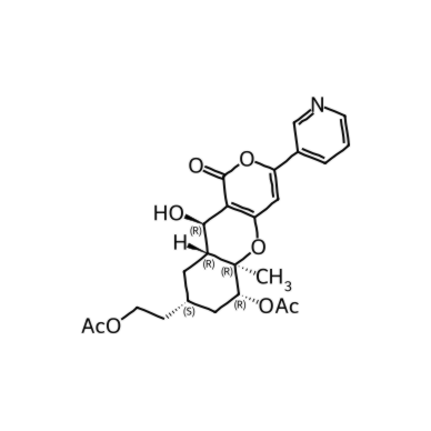 CC(=O)OCC[C@@H]1C[C@@H]2[C@@H](O)c3c(cc(-c4cccnc4)oc3=O)O[C@@]2(C)[C@H](OC(C)=O)C1